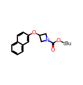 CC(C)(C)OC(=O)N1CC(Oc2ccc3ccccc3c2)C1